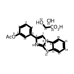 CC(=O)Oc1cccc(-c2cn3c(n2)sc2ccccc23)c1.Cl.O=C(O)CO